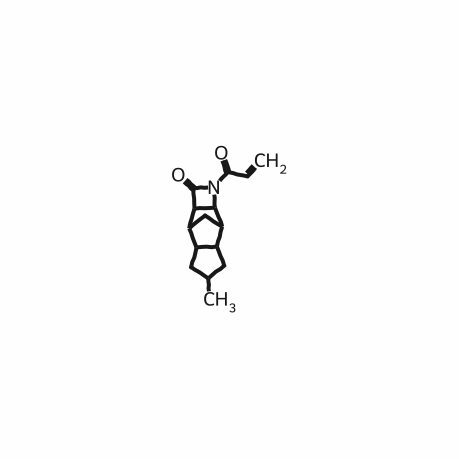 C=CC(=O)N1C(=O)C2C3CC(C4CC(C)CC43)C21